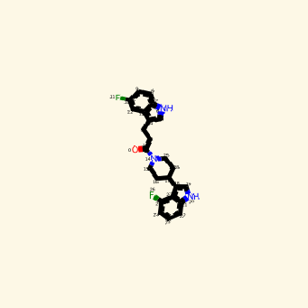 O=C(CCc1c[nH]c2ccc(F)cc12)N1CCC(c2c[nH]c3cccc(F)c23)CC1